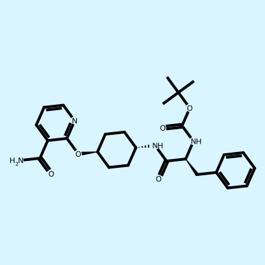 CC(C)(C)OC(=O)N[C@@H](Cc1ccccc1)C(=O)N[C@H]1CC[C@H](Oc2ncccc2C(N)=O)CC1